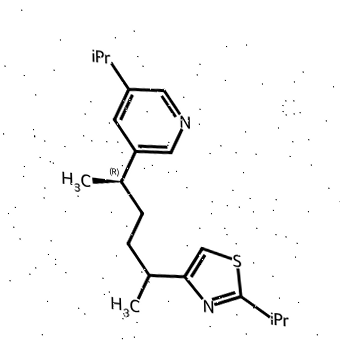 CC(C)c1cncc([C@H](C)CCC(C)c2csc(C(C)C)n2)c1